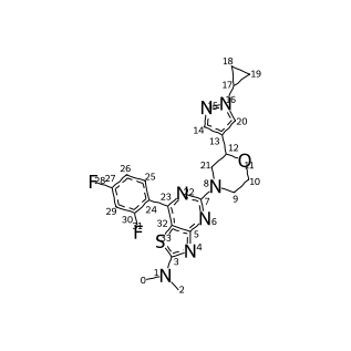 CN(C)c1nc2nc(N3CCOC(c4cnn(C5CC5)c4)C3)nc(-c3ccc(F)cc3F)c2s1